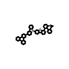 CC1=C(c2ccccc2C2CC2)C(c2cccc3c2sc2cc(-n4c5ccccc5c5cc(-c6ccc7c8ccccc8c8ccccc8c7c6)ccc54)ccc23)CC=C1